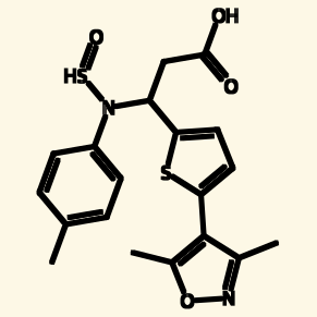 Cc1ccc(N([SH]=O)C(CC(=O)O)c2ccc(-c3c(C)noc3C)s2)cc1